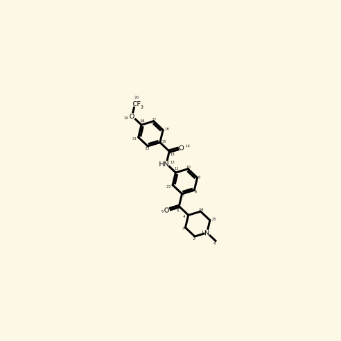 CN1CCC(C(=O)c2cccc(NC(=O)c3ccc(OC(F)(F)F)cc3)c2)CC1